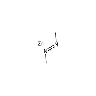 CN=NC.[Zn]